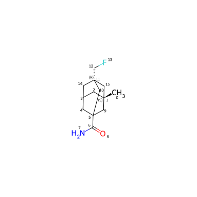 C[C@]12CC3CC(C(N)=O)(C1)C[C@@](CF)(C3)C2